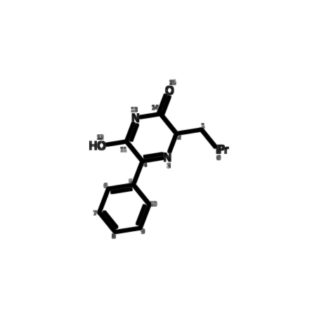 CC(C)CC1N=C(c2ccccc2)C(O)=NC1=O